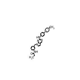 C=CC(=O)Nc1cccc(Cn2ccc3cnc(Nc4ccc(N5CCN(C)CC5)cc4)nc32)c1